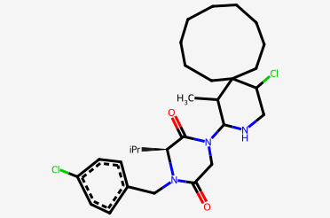 CC(C)[C@H]1C(=O)N(C2NCC(Cl)C3(CCCCCCCCC3)C2C)CC(=O)N1Cc1ccc(Cl)cc1